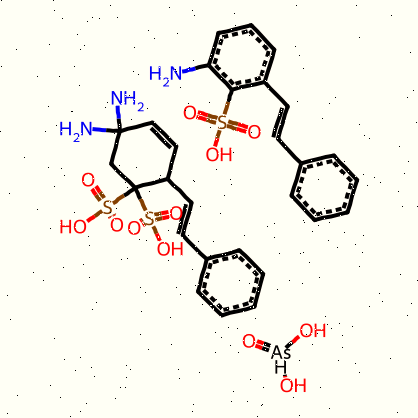 NC1(N)C=CC(C=Cc2ccccc2)C(S(=O)(=O)O)(S(=O)(=O)O)C1.Nc1cccc(C=Cc2ccccc2)c1S(=O)(=O)O.O=[AsH](O)O